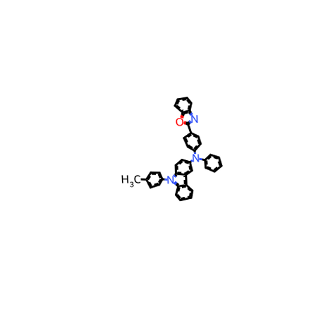 Cc1ccc(-n2c3ccccc3c3cc(N(c4ccccc4)c4ccc(-c5nc6ccccc6o5)cc4)ccc32)cc1